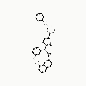 CCC(CNS(=O)(=O)c1ccccc1)c1cc(O)c(C(c2cccc(NS(=O)(=O)c3cccc4cccnc34)c2)C2CC2)c(=O)o1